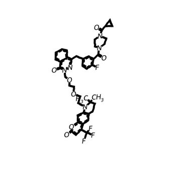 CC1(C)CCc2cc3c(C(F)(F)F)cc(=O)oc3cc2N1CCOCCOCn1nc(Cc2ccc(F)c(C(=O)N3CCN(C(=O)C4CC4)CC3)c2)c2ccccc2c1=O